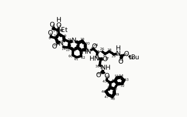 CC[C@@]1(O)C(=O)OCc2c1cc1n(c2=O)Cc2c-1nc1ccc(NC(=O)[C@H](CCCCNC(=O)OC(C)(C)C)NC(=O)CNC(=O)OCC3c4ccccc4-c4ccccc43)c3c1c2CCC3